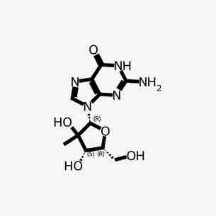 CC1(O)[C@@H](O)[C@@H](CO)O[C@H]1n1cnc2c(=O)[nH]c(N)nc21